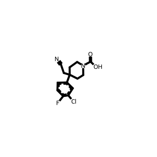 N#CCC1(c2ccc(F)c(Cl)c2)CCN(C(=O)O)CC1